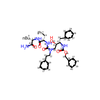 CCCC[C@H](NC(=O)[C@H](CC(C)C)NC(=O)N(CCc1ccccc1)C[C@@H](O)[C@H](Cc1ccccc1)NC(=O)OCc1ccccc1)C(N)=O